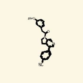 COc1cccc(CC(=O)N2CCc3c(-c4ccc(C#N)cc4)cncc32)c1